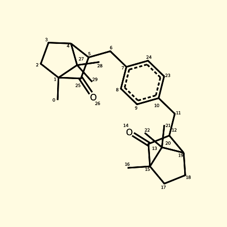 CC12CCC(C(Cc3ccc(CC4C(=O)C5(C)CCC4C5(C)C)cc3)C1=O)C2(C)C